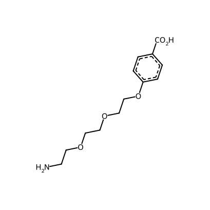 NCCOCCOCCOc1ccc(C(=O)O)cc1